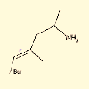 CCCC/C=C(\C)CC(C)N